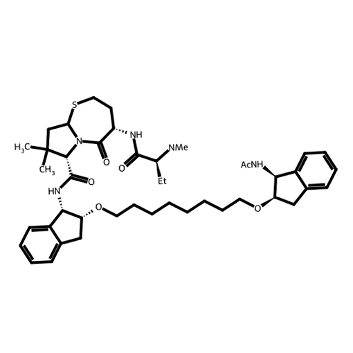 CC[C@H](NC)C(=O)N[C@H]1CCSC2CC(C)(C)[C@@H](C(=O)N[C@H]3c4ccccc4C[C@H]3OCCCCCCCCO[C@@H]3Cc4ccccc4[C@@H]3NC(C)=O)N2C1=O